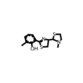 Cc1cccc(C2=NC(C3SCCN3C)CS2)c1O